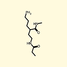 CCC(=O)NCCC(CCCP)C(=O)NC